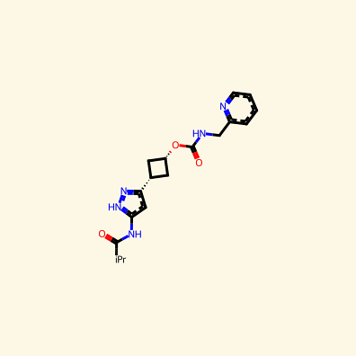 CC(C)C(=O)Nc1cc([C@H]2C[C@@H](OC(=O)NCc3ccccn3)C2)n[nH]1